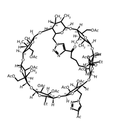 CCCCN(CCCC(=O)c1cn(CC2O[C@@H]3O[C@@H]4C(COC(C)=O)O[C@@H](O[C@@H]5C(CC)O[C@@H](O[C@@H]6C(Cn7cc(C(C)=O)nn7)O[C@@H](O[C@@H]7C(CC)O[C@H](O[C@@H]8C(COC(C)=O)O[C@H](O[C@@H]9C(COC(C)=O)O[C@H](O[C@H]2[C@H](C)C3C)C(C)[C@H]9C)C(OC(C)=O)[C@H]8C)C(OC(C)=O)[C@H]7OC(C)=O)C(OC(C)=O)[C@H]6OC(C)=O)C(OC(C)=O)[C@H]5OC(C)=O)C(C)[C@H]4C)nn1)C(=O)OC(C)(C)C